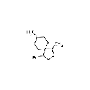 CC1CCC2(CC1)C(C)CCC2C(C)C